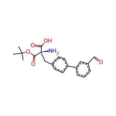 CC(C)(C)OC(=O)[C@@](N)(Cc1ccc(-c2cccc(C=O)c2)cc1)C(=O)O